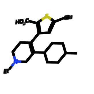 CCN1CCC(c2cc(C(C)(C)C)sc2C(=O)O)=C(C2CCC(C)CC2)C1